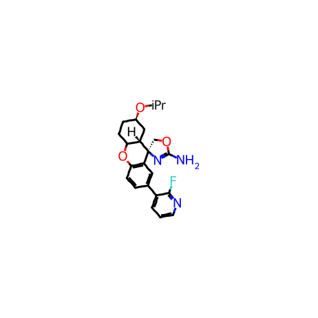 CC(C)O[C@@H]1CCC2Oc3ccc(-c4cccnc4F)cc3[C@@]3(COC(N)=N3)[C@H]2C1